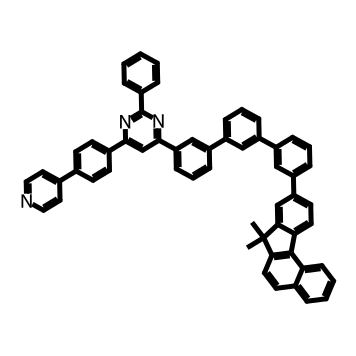 CC1(C)c2cc(-c3cccc(-c4cccc(-c5cccc(-c6cc(-c7ccc(-c8ccncc8)cc7)nc(-c7ccccc7)n6)c5)c4)c3)ccc2-c2c1ccc1ccccc21